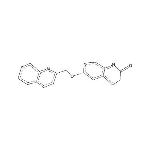 O=C1CC=c2cc(OCc3ccc4ccccc4n3)ccc2=N1